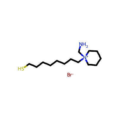 NC[N+]1(CCCCCCCCS)CCCCC1.[Br-]